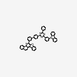 c1ccc(-c2nc(-c3ccc(-c4cccc(-c5nc6c7ccccc7ccc6c6c5oc5ccccc56)c4)cc3)nc(-c3cccc(-n4c5ccccc5c5ccccc54)c3)n2)cc1